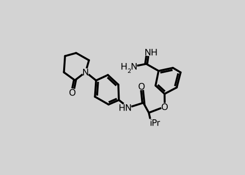 CC(C)C(Oc1cccc(C(=N)N)c1)C(=O)Nc1ccc(N2CCCCC2=O)cc1